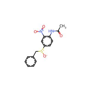 CC(=O)Nc1ccc([S+]([O-])Cc2ccccc2)cc1[N+](=O)[O-]